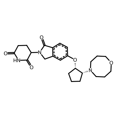 O=C1CCC(N2Cc3cc(O[C@H]4CCC[C@H]4N4CCCOCCC4)ccc3C2=O)C(=O)N1